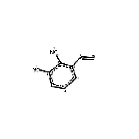 C=Cc1cccc(C#N)c1C#N